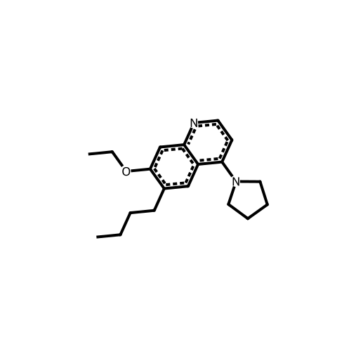 CCCCc1cc2c(N3CCCC3)ccnc2cc1OCC